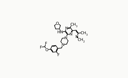 C=N/C(C)=C\c1nc(N2CCN(Cc3ccc(OC(F)F)cc3F)CC2)c(N[C@H]2CCOC2)nc1C